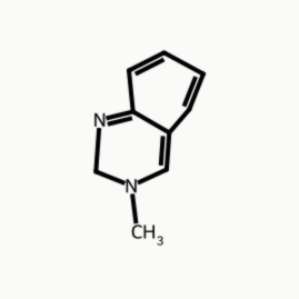 CN1C=c2ccccc2=NC1